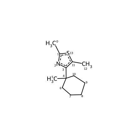 Cc1nc(C2(C)CCCCC2)c(C)s1